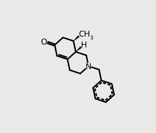 C[C@@H]1CC(=O)C=C2CCN(Cc3ccccc3)C[C@H]21